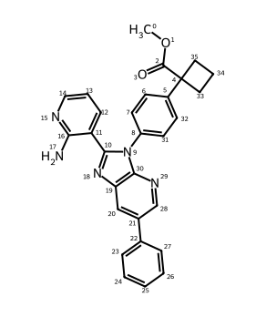 COC(=O)C1(c2ccc(-n3c(-c4cccnc4N)nc4cc(-c5ccccc5)cnc43)cc2)CCC1